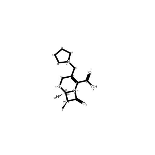 C[C@@H]1C(=O)N2C(C(=O)O)=C(CN3CCCC3)CS[C@H]12